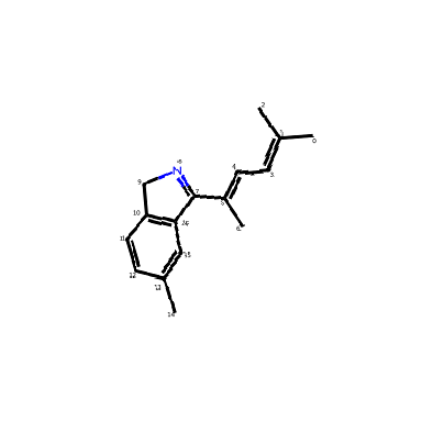 CC(C)=C/C=C(\C)C1=NCc2ccc(C)cc21